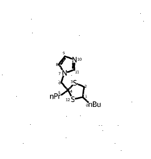 CCCCC1CSC(CCC)(Cn2ccnc2)S1